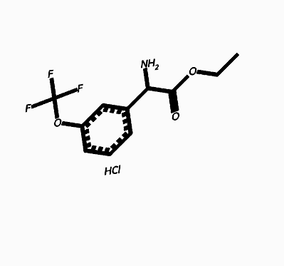 CCOC(=O)C(N)c1cccc(OC(F)(F)F)c1.Cl